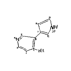 CCc1ccncc1-c1cc[nH]c1